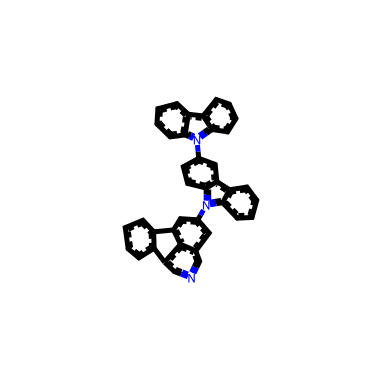 c1ccc2c(c1)-c1cncc3cc(-n4c5ccccc5c5cc(-n6c7ccccc7c7ccccc76)ccc54)cc-2c13